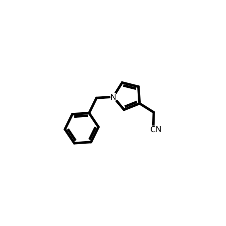 N#CCc1ccn(Cc2ccccc2)c1